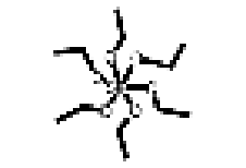 CCO[Se](OCC)(OCC)(OCC)(OCC)OCC